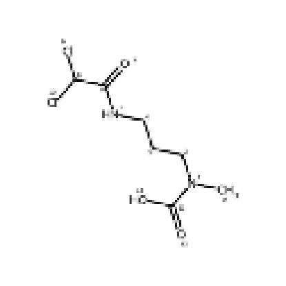 CN(CCCNC(=O)C(Cl)Cl)C(=O)O